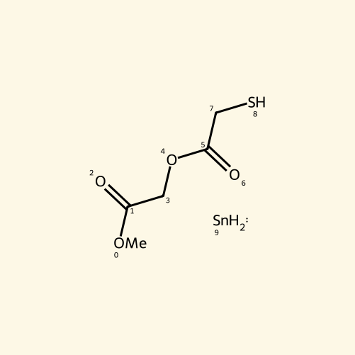 COC(=O)COC(=O)CS.[SnH2]